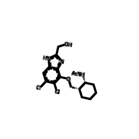 CC(=O)N[C@@H]1CCCC[C@@H]1COc1c(Cl)c(Cl)cc2[nH]c(CO)nc12